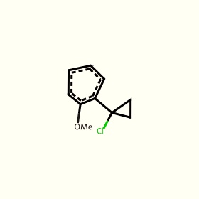 COc1cc[c]cc1C1(Cl)CC1